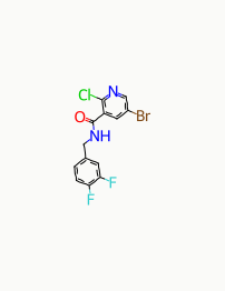 O=C(NCc1ccc(F)c(F)c1)c1cc(Br)cnc1Cl